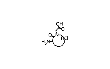 Cl.NC1CCCCCCN(CC(=O)O)C1=O